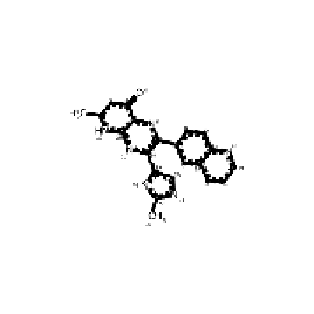 Cc1cc(=O)c2nc(-c3ccc4ncccc4c3)c(-c3cnc(C)s3)nc2[nH]1